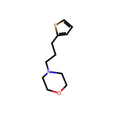 c1csc(CCCN2CCOCC2)c1